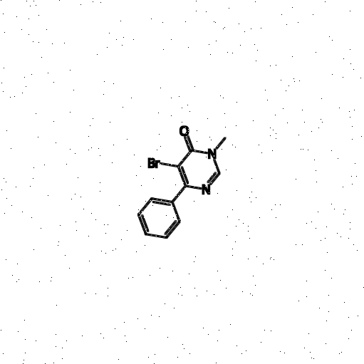 Cn1cnc(-c2ccccc2)c(Br)c1=O